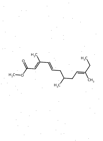 CCC(C)=CCC(C)CC=CC(C)=CC(=O)OC